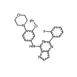 CC(C)Oc1cc(Nc2nc(-c3ccccc3F)nc3ccnn23)ccc1N1CCOCC1